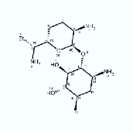 CC[C@@H](N)[C@@H]1CC[C@@H](N)[C@@H](O[C@H]2[C@H](O)[C@@H](O)[C@H](C)C[C@@H]2N)O1